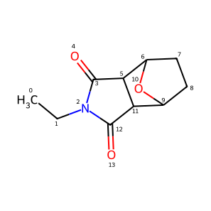 CCN1C(=O)C2C3CCC(O3)C2C1=O